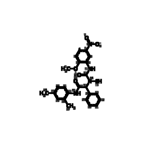 COc1ccc([N+](=O)[O-])cc1NC(=O)N(S)C(C(=O)Nc1ccc(C)cc1C)c1ccccc1